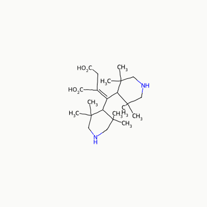 CC1(C)CNCC(C)(C)C1C(=C(CC(=O)O)C(=O)O)C1C(C)(C)CNCC1(C)C